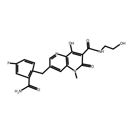 Cn1c(=O)c(C(=O)NCCO)c(O)c2ncc(Cc3ccc(F)cc3C(N)=O)cc21